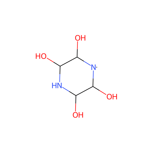 OC1[N]C(O)C(O)NC1O